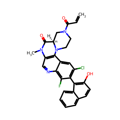 C=CC(=O)N1CCN2c3c(cnc4c(F)c(-c5c(O)ccc6ccccc56)c(Cl)cc34)N(C)C(=O)[C@H]2C1